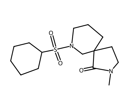 CN1CCC2(CCCN(S(=O)(=O)C3CCCCC3)C2)C1=O